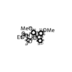 CCO[PH](=O)O[C@@H]1C[C@H](C)O[C@@H]1COC(c1ccccc1)(c1ccc(OC)cc1)c1ccc(OC)cc1